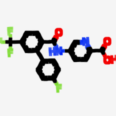 O=C(O)c1ccc(NC(=O)c2ccc(C(F)(F)F)cc2-c2ccc(F)cc2)cn1